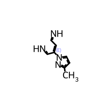 Cc1ccn(/C(C=N)=C/C=N)n1